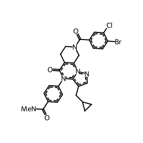 CNC(=O)c1ccc(-n2c(=O)c3c(n4ncc(CC5CC5)c24)CN(C(=O)c2ccc(Br)c(Cl)c2)CC3)cc1